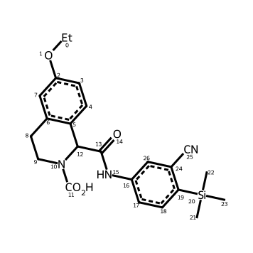 CCOc1ccc2c(c1)CCN(C(=O)O)C2C(=O)Nc1ccc([Si](C)(C)C)c(C#N)c1